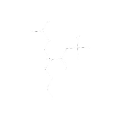 CCCCN(CCN(C)C)C(=O)CC(C)(C)C